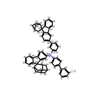 Fc1cccc(-c2ccc(N(c3cccc(-c4ccc5c(c4)-c4ccccc4C54CC5CCC4C5)c3)c3ccc4c(c3)C3(c5ccccc5-4)C4CC5CC(C4)CC3C5)cc2)c1